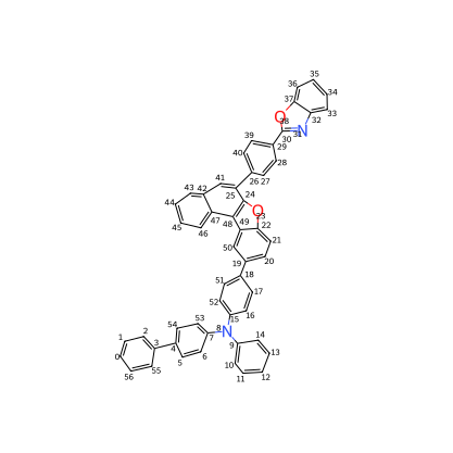 c1ccc(-c2ccc(N(c3ccccc3)c3ccc(-c4ccc5oc6c(-c7ccc(-c8nc9ccccc9o8)cc7)cc7ccccc7c6c5c4)cc3)cc2)cc1